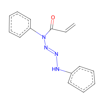 C=CC(=O)N(N=NNc1ccccc1)c1ccccc1